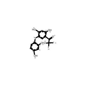 O=C(c1cc(Sc2ccc(O)cc2O)c(O)cc1O)C(F)(F)F